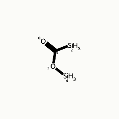 O=C([SiH3])O[SiH3]